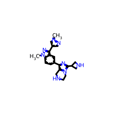 Cn1cc(-c2nn(C)c3ccc(-c4nc(C5CNC5)n5c4CNCC5)cc23)cn1